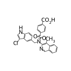 Cc1c(N(Cc2ccc3[nH]cc(Cl)c3c2)S(=O)(=O)c2ccc(C(=O)O)cc2)ncc2ccccc12